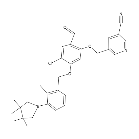 Cc1c(COc2cc(OCc3cncc(C#N)c3)c(C=O)cc2Cl)cccc1B1CC(C)(C)C(C)(C)C1